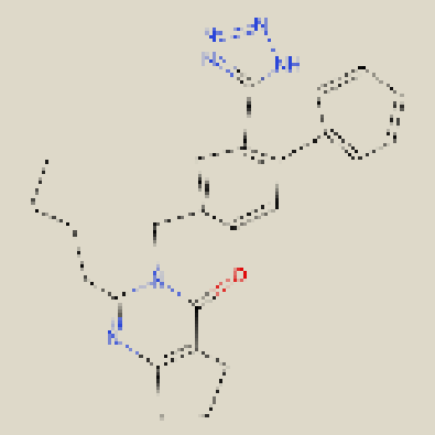 CCCCc1nc2c(c(=O)n1Cc1ccc(-c3ccccc3)c(-c3nnn[nH]3)c1)CCC2